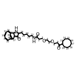 O=C(CCOCCOCCC(=O)C1CCCCCCCC1)NCCCCCC1NC2/C3=C/C=C\C=C/C=C(C=C3)/C2C1=O